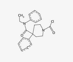 CCN(C(=O)C1(c2ccccc2)CCN(C(=O)Cl)CC1)c1ccccc1